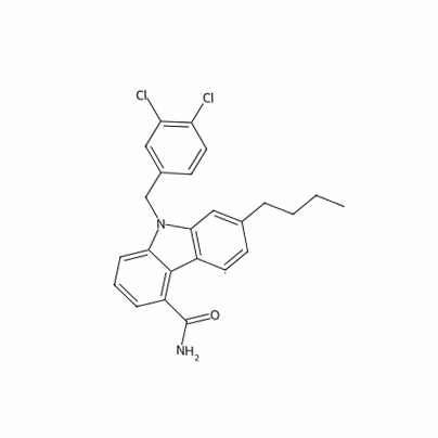 CCCCc1c[c]c2c3c(C(N)=O)cccc3n(Cc3ccc(Cl)c(Cl)c3)c2c1